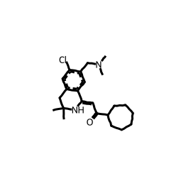 CN(C)Cc1cc2c(cc1Cl)CC(C)(C)N/C2=C\C(=O)C1CCCCCC1